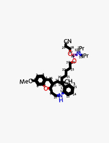 COc1ccc2c(c1)OC1CCNc3ccccc3C(C)(CCCCCOP(OCCC#N)N(C(C)C)C(C)C)CC1=C2